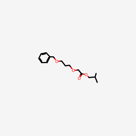 CC(C)COC(=O)COCCCOCc1ccccc1